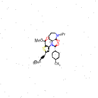 CCCN1CCCC[C@H](N(c2cc(C#CC(C)(C)C)sc2C(=O)OC)C(=O)[C@H]2CC[C@H](C)CC2)C1=O